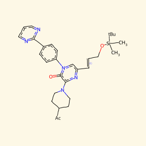 CC(=O)C1CCN(c2nc(/C=C/CO[Si](C)(C)C(C)(C)C)cn(-c3ccc(-c4ncccn4)cc3)c2=O)CC1